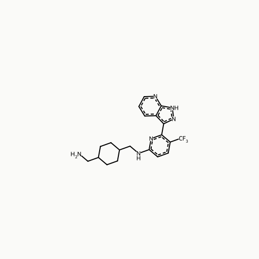 NCC1CCC(CNc2ccc(C(F)(F)F)c(-c3n[nH]c4ncccc34)n2)CC1